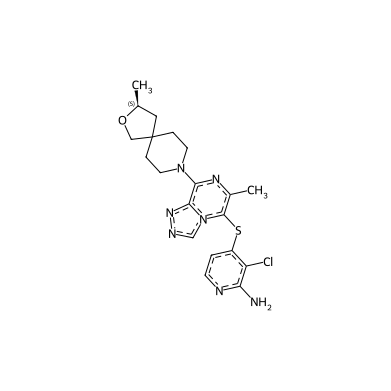 Cc1nc(N2CCC3(CC2)CO[C@@H](C)C3)c2nncn2c1Sc1ccnc(N)c1Cl